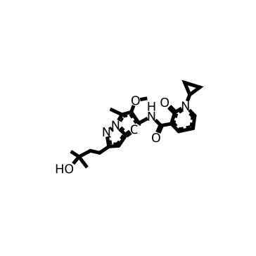 COc1c(NC(=O)c2cccn(C3CC3)c2=O)cc2cc(CCC(C)(C)O)nn2c1C